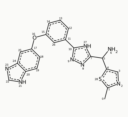 Cc1ncc(C(N)c2nnc(-c3cccc(Oc4ccc5[nH]cnc5c4)c3)[nH]2)s1